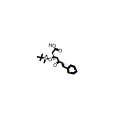 CC(C)(C)[Si](C)(C)O[C@@H](CC(=O)O)CC(=O)/C=C/c1ccccc1